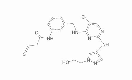 O=C(CC=S)Nc1cccc(CNc2nc(Nc3cnn(CCO)c3)ncc2Cl)c1